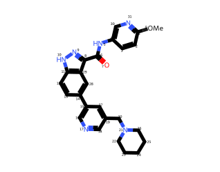 COc1ccc(NC(=O)c2n[nH]c3ccc(-c4cncc(CN5CCCCC5)c4)cc23)cn1